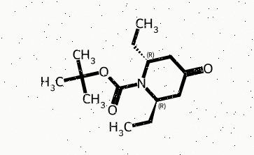 CC[C@@H]1CC(=O)C[C@@H](CC)N1C(=O)OC(C)(C)C